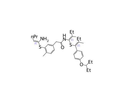 CCC/C=C(\N)Sc1cc(CC(=O)N/C(S/C(=C(/C)CC)c2ccc(OC(CC)CC)cc2)=C(/C)CC)ccc1C